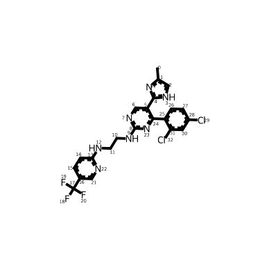 Cc1c[nH]c(-c2cnc(NCCNc3ccc(C(F)(F)F)cn3)nc2-c2ccc(Cl)cc2Cl)n1